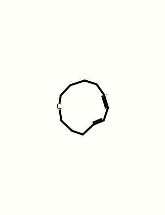 [C]1=C\C=C\CCCCCCCC/1